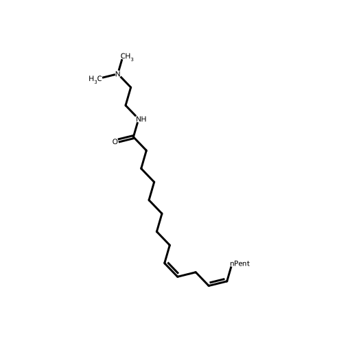 CCCCC/C=C\C/C=C\CCCCCCCC(=O)NCCN(C)C